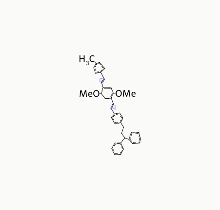 COC1=C(/C=C/c2ccc(CCC(c3ccccc3)c3ccccc3)cc2)CC(OC)C(/C=C/c2ccc(C)cc2)=C1